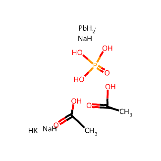 CC(=O)O.CC(=O)O.O=P(O)(O)O.[KH].[NaH].[NaH].[PbH2]